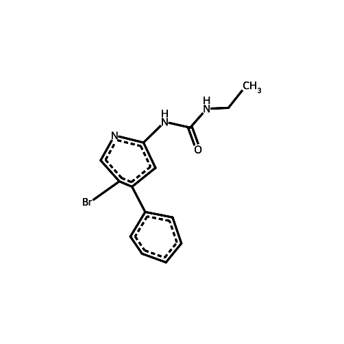 CCNC(=O)Nc1cc(-c2ccccc2)c(Br)cn1